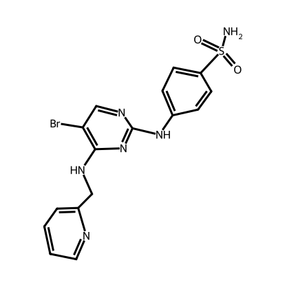 NS(=O)(=O)c1ccc(Nc2ncc(Br)c(NCc3ccccn3)n2)cc1